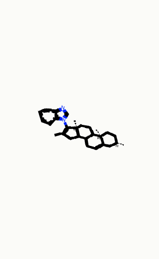 CC1=C(n2cnc3ccccc32)[C@@]2(C)CCC3C(CC=C4C[C@@H](C)CC[C@@]43C)C2C1